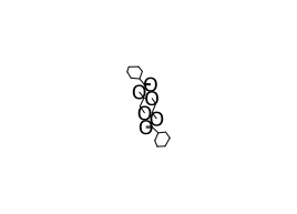 O=C(OC1COC(OC(=O)C2CCCCC2)CO1)C1CCCCC1